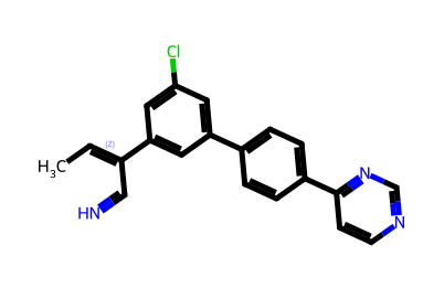 C/C=C(\C=N)c1cc(Cl)cc(-c2ccc(-c3ccncn3)cc2)c1